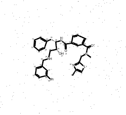 Cc1csc(CN(C)C(=O)c2cccc(C(=O)N[C@@H](Cc3ccccc3)[C@H](O)CNCc3c[c]cc(C(C)C)c3)c2)n1